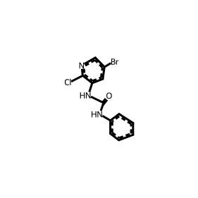 O=C(Nc1ccccc1)Nc1cc(Br)cnc1Cl